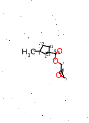 CC1C=C(C(=O)OCC2CO2)CC1